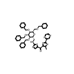 Cc1nc(-c2cnccn2)sc1C(=O)c1cnc(NC[C@H]2O[C@H](COCc3ccccc3)[C@@H](OCc3ccccc3)[C@H](OCc3ccccc3)[C@@H]2OCc2ccccc2)s1